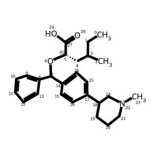 CCC(C)C[C@H](OC(c1ccccc1)c1ccc(C2CCCN(C)C2)cc1)C(=O)O